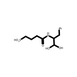 CC(C)CC(NC(=O)CCCS(=O)(=O)O)C(O)O